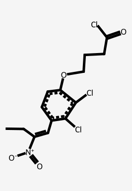 CC/C(=C\c1ccc(OCCCC(=O)Cl)c(Cl)c1Cl)[N+](=O)[O-]